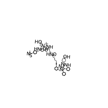 Cc1ncsc1-c1ccc(CNC(=O)[C@@H]2C[C@@H](O)CN2C(=O)[C@@H](NC(=O)CCCNC(=O)CCCCC#Cc2cccc(Cn3c(-c4ccccc4)c(-c4ccccc4)c4c(=N)n(C5CCC(O)CC5)cnc43)c2)C(C)(C)C)cc1